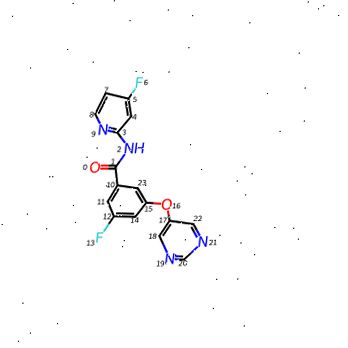 O=C(Nc1cc(F)ccn1)c1cc(F)cc(Oc2cncnc2)c1